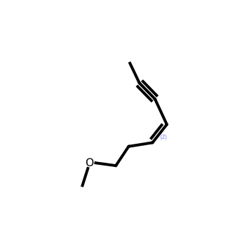 CC#C/C=C\CCOC